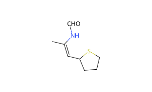 CC(=CC1CCCS1)NC=O